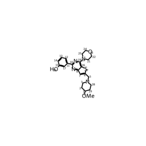 COC1CCN(Cc2cc3nc(-c4cccc(O)c4)nc(N4CCOCC4)c3s2)CC1